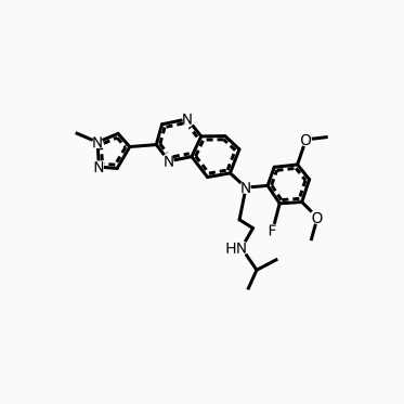 COc1cc(OC)c(F)c(N(CCNC(C)C)c2ccc3ncc(-c4cnn(C)c4)nc3c2)c1